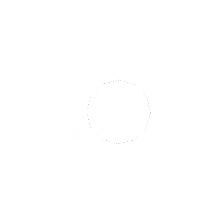 FC1CCCCCCCCCCC1